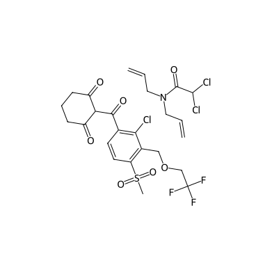 C=CCN(CC=C)C(=O)C(Cl)Cl.CS(=O)(=O)c1ccc(C(=O)C2C(=O)CCCC2=O)c(Cl)c1COCC(F)(F)F